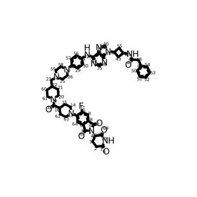 O=C1CC[C@H](N2C(=O)c3cc(F)c(N4CCC(C(=O)N5CCC(CN6CCN(c7ccc(Nc8ncnc9c8ncn9C8CC(NC(=O)Cc9ccccc9)C8)cc7)CC6)CC5)CC4)cc3C2=O)C(=O)N1